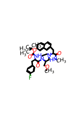 CNC(=O)C(Cc1ccc2ccccc2c1)N1CCN(C(=O)C(Cc2ccc(F)cc2)NC(=O)OC(C)(C)C)C(COC)C1